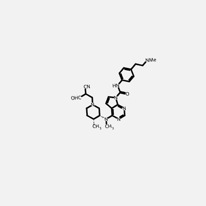 CNCCc1ccc(NC(=O)n2ccc3c(N(C)[C@H]4CN(CC(C#N)C=O)CC[C@H]4C)ncnc32)cc1